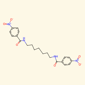 O=C(NCCCCCCCNC(=O)c1ccc([N+](=O)[O-])cc1)c1ccc([N+](=O)[O-])cc1